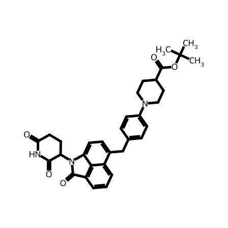 CC(C)(C)OC(=O)C1CCN(c2ccc(Cc3ccc4c5c(cccc35)C(=O)N4C3CCC(=O)NC3=O)cc2)CC1